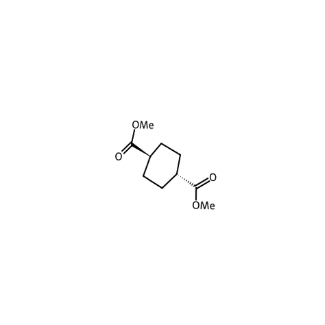 COC(=O)[C@H]1CC[C@H](C(=O)OC)CC1